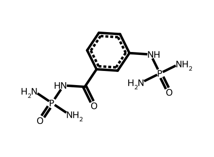 NP(N)(=O)NC(=O)c1cccc(NP(N)(N)=O)c1